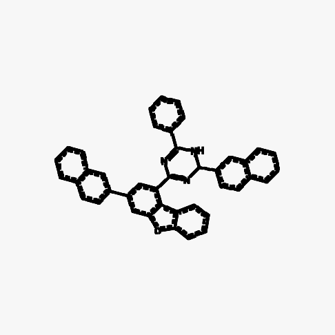 c1ccc(C2=NC(c3cc(-c4ccc5ccccc5c4)cc4oc5ccccc5c34)=NC(c3ccc4ccccc4c3)N2)cc1